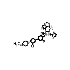 C=C(Nc1nccs1)C(c1ncn2c1CCC2)n1cc2c(F)cc(-c3ccc(N4CCN(CC)CC4)c(Cl)c3)cc2n1